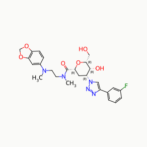 CN(CCN(C)c1ccc2c(c1)OCO2)C(=O)[C@H]1C[C@@H](n2cc(-c3cccc(F)c3)nn2)[C@@H](O)[C@@H](CO)O1